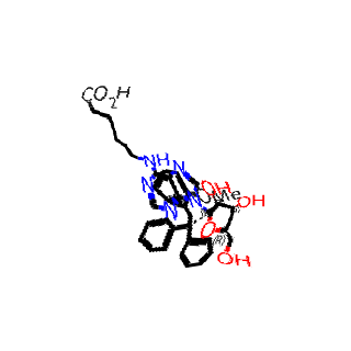 COc1ccccc1C(c1ccccc1)(c1ccccc1)[C@@]1(n2cnc3c(NCCCCCC(=O)O)ncnc32)O[C@H](CO)[C@@H](O)[C@H]1O